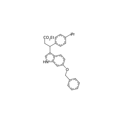 CCOC(=O)CC(c1ccc(C(C)C)cc1)c1c[nH]c2cc(OCc3ccccc3)ccc12